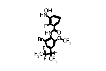 O=C(Nc1c(Br)cc(C(F)(C(F)(F)F)C(F)(F)C(F)(F)F)cc1OC(F)(F)F)c1cccc(NO)c1F